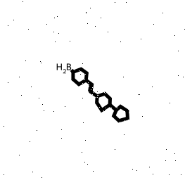 BC1CCC(/C=C/C2CCC(C3CCCCC3)CC2)CC1